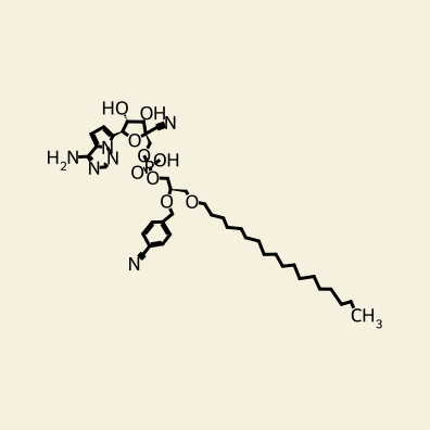 CCCCCCCCCCCCCCCCCCOC[C@H](COP(=O)(O)OC[C@@]1(C#N)O[C@@H](c2ccc3c(N)ncnn23)[C@H](O)[C@@H]1O)OCc1ccc(C#N)cc1